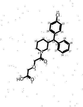 O=C(O)COCC(=O)N1CCCC(C(c2ccccc2)c2ccc(Cl)cc2)C1